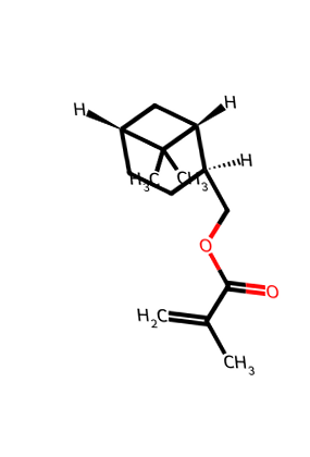 C=C(C)C(=O)OC[C@H]1CC[C@@H]2C[C@H]1C2(C)C